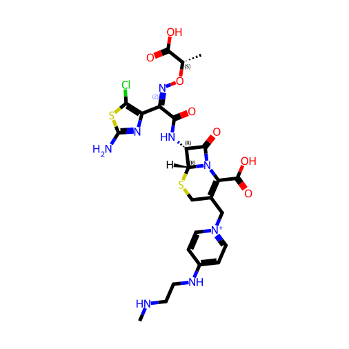 CNCCNc1cc[n+](CC2=C(C(=O)O)N3C(=O)[C@@H](NC(=O)/C(=N\O[C@@H](C)C(=O)O)c4nc(N)sc4Cl)[C@H]3SC2)cc1